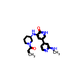 C=CC(=O)N1CCC[C@@H](Nc2cc(-c3ccnc(NC)c3)c[nH]c2=O)C1